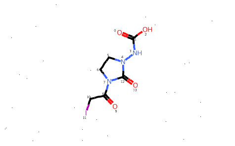 O=C(O)NN1CCN(C(=O)CI)C1=O